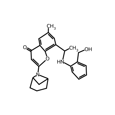 Cc1cc(C(C)Nc2ccccc2CO)c2oc(N3C4CCCC3C4)cc(=O)c2c1